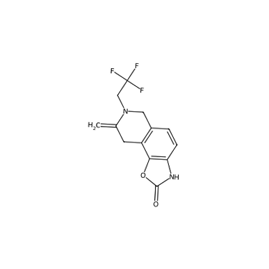 C=C1Cc2c(ccc3[nH]c(=O)oc23)CN1CC(F)(F)F